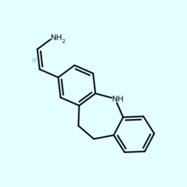 N/C=C\c1ccc2c(c1)CCc1ccccc1N2